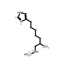 CC(CCCCCc1c[nH]cn1)CNC(=O)O